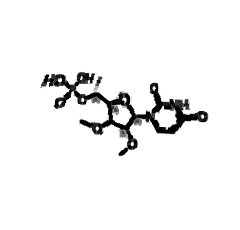 COC1[C@H](OC)[C@H](n2ccc(=O)[nH]c2=O)O[C@@H]1[C@@H](C)OP(=O)(O)O